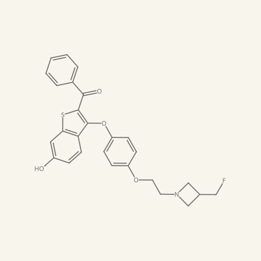 O=C(c1ccccc1)c1sc2cc(O)ccc2c1Oc1ccc(OCCN2CC(CF)C2)cc1